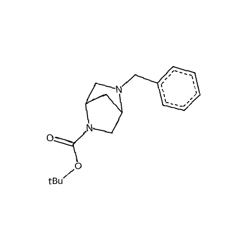 CC(C)(C)OC(=O)N1CC2CC1CN2Cc1ccccc1